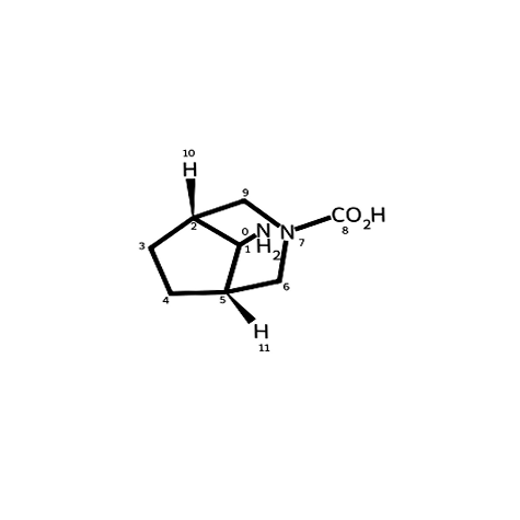 NC1[C@@H]2CC[C@H]1CN(C(=O)O)C2